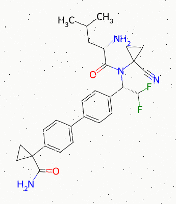 CC(C)C[C@H](N)C(=O)N([C@@H](c1ccc(-c2ccc(C3(C(N)=O)CC3)cc2)cc1)C(F)F)C1(C#N)CC1